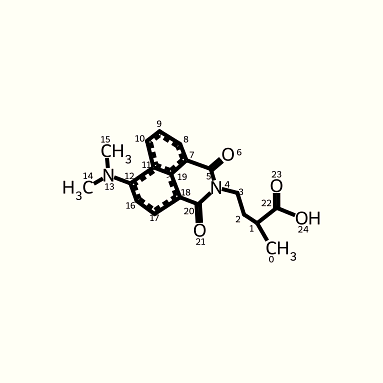 CC(CCN1C(=O)c2cccc3c(N(C)C)ccc(c23)C1=O)C(=O)O